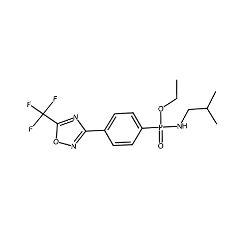 CCOP(=O)(NCC(C)C)c1ccc(-c2noc(C(F)(F)F)n2)cc1